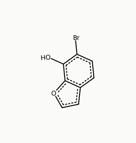 Oc1c(Br)ccc2ccoc12